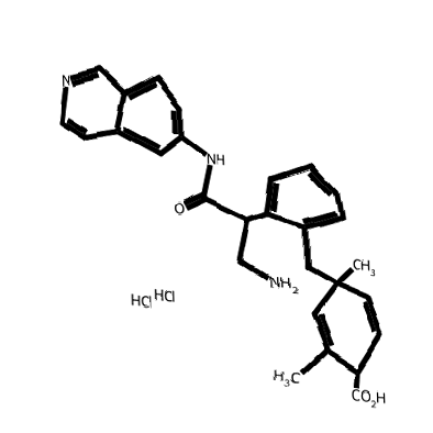 CC1=CC(C)(Cc2ccccc2C(CN)C(=O)Nc2ccc3cnccc3c2)C=CC1C(=O)O.Cl.Cl